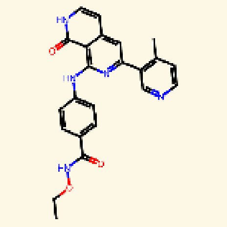 CCONC(=O)c1ccc(Nc2nc(-c3cnccc3C)cc3cc[nH]c(=O)c23)cc1